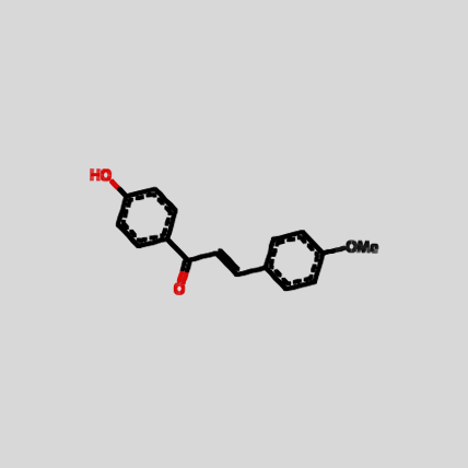 COc1ccc(C=CC(=O)c2ccc(O)cc2)cc1